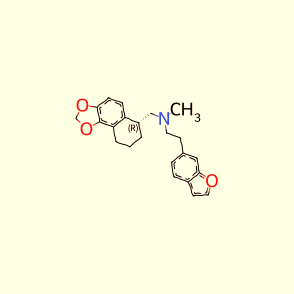 CN(CCc1ccc2ccoc2c1)C[C@@H]1CCCc2c1ccc1c2OCO1